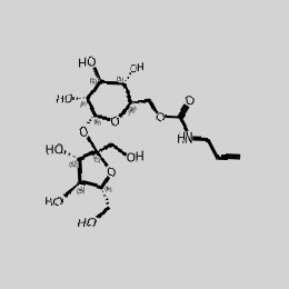 C=CCNC(=O)OC[C@H]1O[C@H](O[C@]2(CO)O[C@H](CO)[C@@H](O)[C@@H]2O)[C@H](O)[C@@H](O)[C@@H]1O